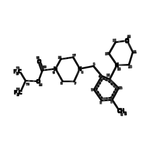 Cc1ccc(CN2CCN(C(=O)OC(C(F)(F)F)C(F)(F)F)CC2)c(N2CCOCC2)c1